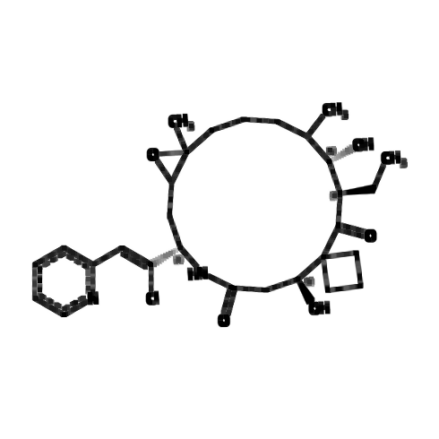 CC[C@H]1C(=O)C2(CCC2)[C@@H](O)CC(=O)N[C@H](C(Cl)=Cc2ccccn2)CC2OC2(C)CCCC(C)[C@@H]1O